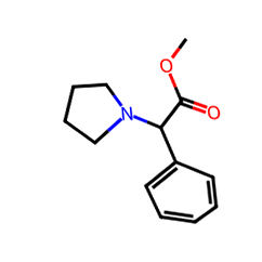 COC(=O)C(c1ccccc1)N1CCCC1